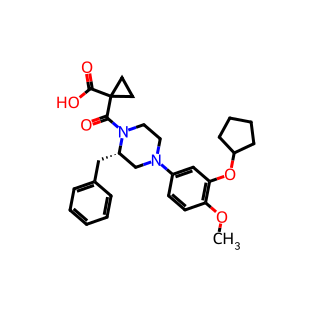 COc1ccc(N2CCN(C(=O)C3(C(=O)O)CC3)[C@@H](Cc3ccccc3)C2)cc1OC1CCCC1